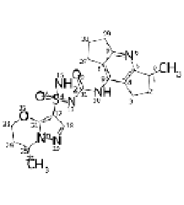 CC1CCc2c1nc1c(c2NC(=O)N=S(N)(=O)c2cnn3c2OCCC3C)CCC1